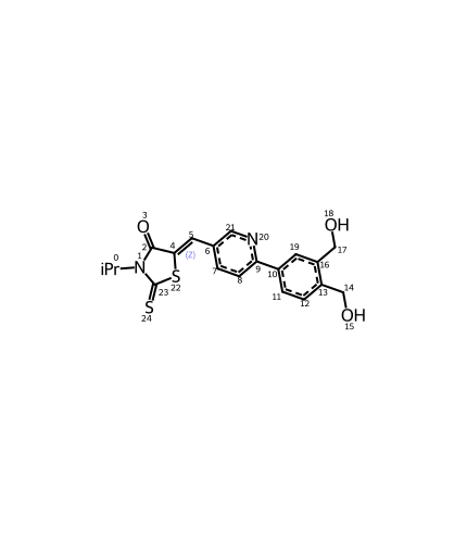 CC(C)N1C(=O)/C(=C/c2ccc(-c3ccc(CO)c(CO)c3)nc2)SC1=S